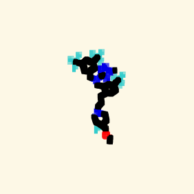 CCOCC1(F)CCN(CCCc2ccc(C(F)(F)F)cc2CN(Cc2cc(C(F)(F)F)cc(C(F)(F)F)c2)c2nnn(C)n2)CC1